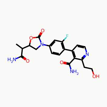 CC(C(N)=O)C1CN(c2ccc(-c3ccnc(CCO)c3C(N)=O)c(F)c2)C(=O)O1